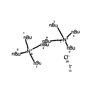 CCCC[N+](CCCC)(CCCC)CCCC.CCCC[N+](CCCC)(CCCC)CCCC.[Cl-].[I-]